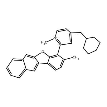 Cc1ccc2c(oc3cc4ccccc4cc32)c1-c1cc(CC2CCCCC2)cc[n+]1C